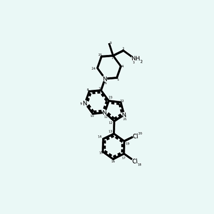 CC1(CN)CCN(c2cncn3c(-c4cccc(Cl)c4Cl)ncc23)CC1